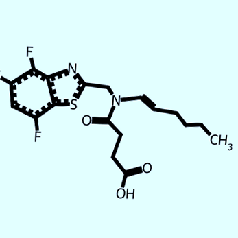 CCCCC=CN(Cc1nc2c(F)c(F)cc(F)c2s1)C(=O)CCC(=O)O